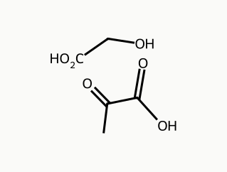 CC(=O)C(=O)O.O=C(O)CO